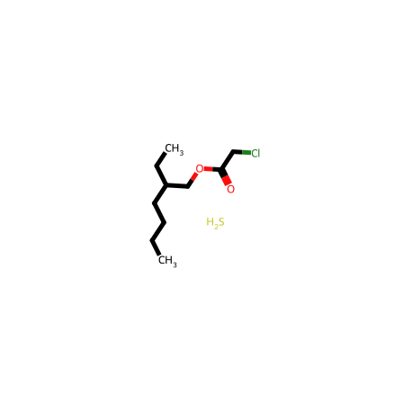 CCCCC(CC)COC(=O)CCl.S